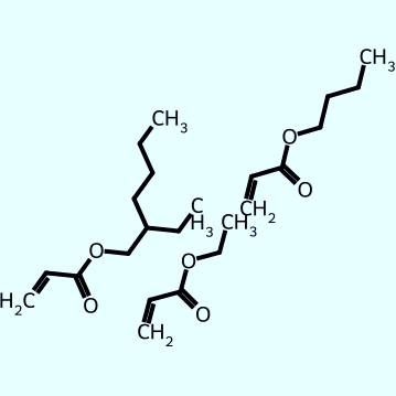 C=CC(=O)OCC.C=CC(=O)OCC(CC)CCCC.C=CC(=O)OCCCC